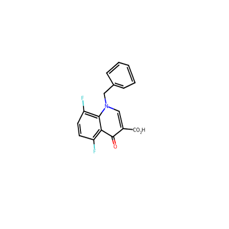 O=C(O)c1cn(Cc2ccccc2)c2c(F)ccc(F)c2c1=O